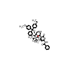 COc1ccc(C(OC[C@]2(C(O)[Si](C(C)C)(C(C)C)C(C)C)CNC[C@H](n3ccc(NC(=O)c4ccccc4)nc3=O)O2)(c2ccccc2)c2ccc(OC)cc2)cc1